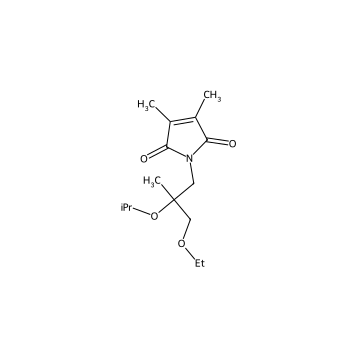 CCOCC(C)(CN1C(=O)C(C)=C(C)C1=O)OC(C)C